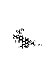 CCCC(=O)COc1cc2oc3cc(OCC(=O)COC)c(CO)c(CC=C(C)C)c3c(=O)c2c(O)c1CC=C(C)C